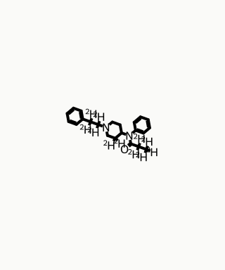 [2H]C1([2H])CN(C([2H])([2H])C([2H])([2H])c2ccccc2)CCC1N(C(=O)C([2H])([2H])C([2H])([2H])[2H])c1ccccc1